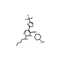 CCCCNC1N=CC(c2nc(C(F)(F)F)cs2)=C(N[C@H]2CC[C@H](O)CC2)N1